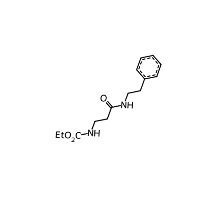 CCOC(=O)NCCC(=O)NCCc1ccccc1